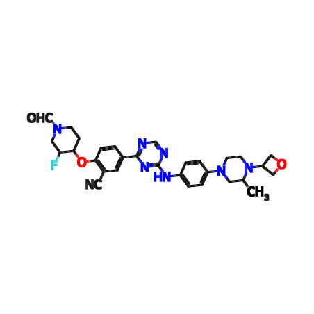 CC1CN(c2ccc(Nc3ncnc(-c4ccc(OC5CCN(C=O)CC5F)c(C#N)c4)n3)cc2)CCN1C1COC1